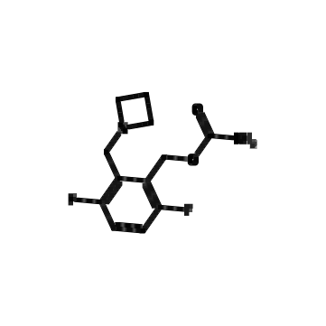 NC(=O)OCc1c(F)ccc(F)c1CN1CCC1